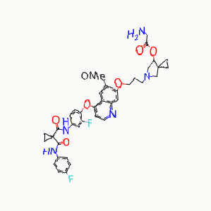 COc1cc2c(Oc3ccc(NC(=O)C4(C(=O)Nc5ccc(F)cc5)CC4)cc3F)ccnc2cc1OCCCN1CC(OC(=O)CN)C2(CC2)C1